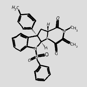 C=C1C(=O)N2[C@H](C[C@]3(c4ccc(C)cc4)c4ccccc4N(S(=O)(=O)c4ccccc4)[C@H]23)C(=O)N1C